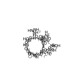 CCC(C)C(NC(=O)[C@@H]1CSSC[C@H](NC(=O)[C@@H](NC(=O)[C@H](C)N)[C@@H](C)CC)C(=O)N[C@@H](CO)C(=O)N[C@@H](CCCNC(=N)N)C(=O)N[C@@H](CO)C(=O)N[C@@H](CC(C)C)C(=O)N2CCC[C@H]2C(=O)N2C3CCCCC3C[C@H]2C(=O)NC([C@@H](C)CC)C(=O)N1C)C(=O)N1CCC[C@H]1C(=O)N[C@@H](CC(=O)O)C(N)=O